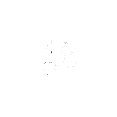 CN(C)C[C@@H]1C2CCC(C2)[C@H]1c1cccc2ccccc12